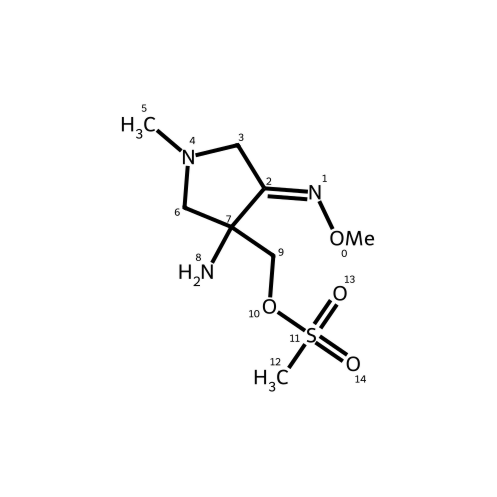 CON=C1CN(C)CC1(N)COS(C)(=O)=O